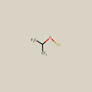 FC(F)(F)C(OS)C(F)(F)F